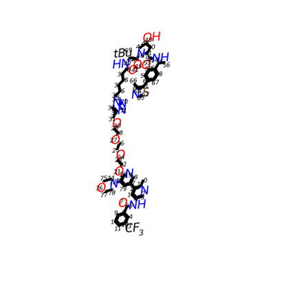 Cc1ncc(NC(=O)c2cccc(C(F)(F)F)c2)cc1-c1cnc(OCCOCCOCCOCc2cn(CCCCCC(=O)NC(C(=O)N3C[C@H](O)C[C@H]3C(=O)NC(C)c3ccc(-c4scnc4C)cc3)C(C)(C)C)nn2)c(N2CCOCC2)c1